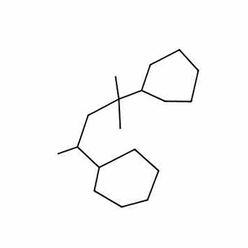 CC(CC(C)(C)C1CCCCC1)C1CCCCC1